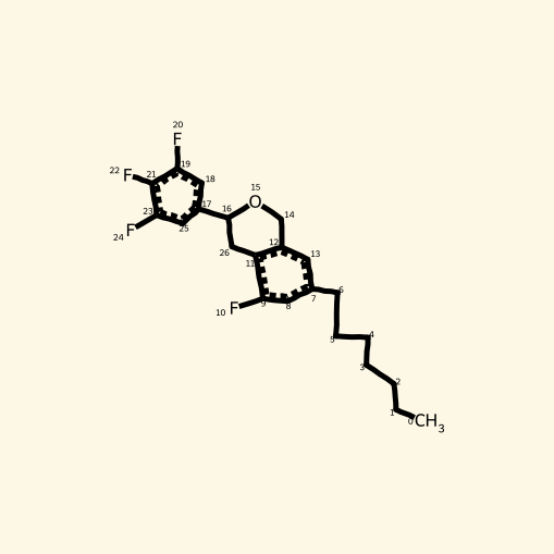 CCCCCCCc1cc(F)c2c(c1)COC(c1cc(F)c(F)c(F)c1)C2